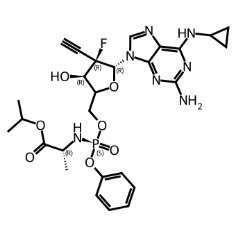 C#C[C@@]1(F)[C@H](O)C(CO[P@@](=O)(N[C@H](C)C(=O)OC(C)C)Oc2ccccc2)O[C@H]1n1cnc2c(NC3CC3)nc(N)nc21